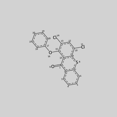 O=c1c2ccccc2sc2c(Cl)cc(Cl)c(Oc3ccccc3)c12